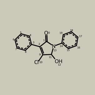 O=C1C(c2ccccc2)=C(Cl)C(O)N1c1ccccc1